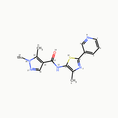 Cc1nc(-c2cccnc2)sc1NC(=O)c1cnn(C(C)(C)C)c1C